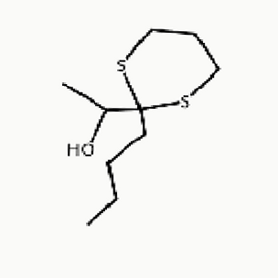 CCCCC1(C(C)O)SCCCS1